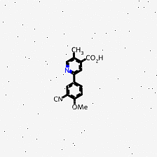 [C-]#[N+]c1cc(-c2cc(C(=O)O)c(C)cn2)ccc1OC